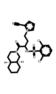 N#Cc1cccn1CCC(NS(=O)(=O)c1c(Cl)cccc1Cl)C(=O)N1CC[C@@H]2CCCC[C@@H]2C1